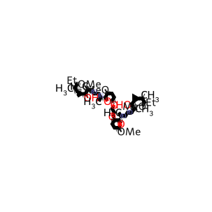 CC[C@H](OC)[C@@H](C)[C@H]1CC1[C@H](O)[C@@H](C)/C=C/C=C(\C)[C@H]1O[C@@H](OCCO[C@@H]2CC[C@H](OC)O[C@@H]2/C(C)=C/C=C/[C@H](C)[C@@H](O)C2CC2[C@H](C)[C@H](CC)OC)CC[C@@H]1OC